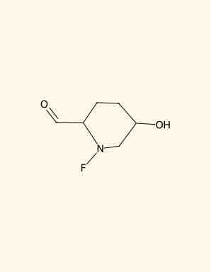 O=CC1CCC(O)CN1F